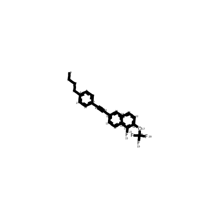 CCCCc1ccc(C#Cc2ccc3c(F)c(OC(F)(F)F)ccc3c2)cc1